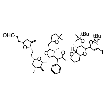 C=C1C[C@H](CCC=O)O[C@H]1CC[C@H]1C[C@@H](C)C(=C)[C@@H](C[C@@H]2O[C@H](C[C@H]3CCC(C)(C)O3)[C@H](C)[C@H]2C(C(=O)C[C@H]2CCC3O[C@@H]([C@H](/C=C/I)O[Si](C)(C)C(C)(C)C)[C@@H](O[Si](C)(C)C(C)(C)C)[C@@H](C)[C@H]3O2)c2ccccc2)O1